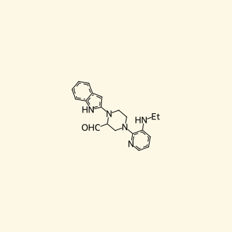 CCNc1cccnc1N1CCN(c2cc3ccccc3[nH]2)C(C=O)C1